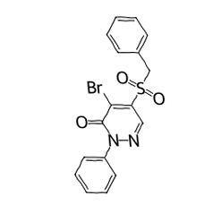 O=c1c(Br)c(S(=O)(=O)Cc2ccccc2)cnn1-c1ccccc1